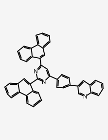 c1ccc2ncc(-c3ccc(-c4cc(-c5cc6ccccc6c6ccccc56)nc(-c5cc6ccccc6c6ccccc56)n4)cc3)cc2c1